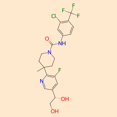 CC1(c2ncc([C@H](O)CO)cc2F)CCN(C(=O)Nc2ccc(C(F)(F)F)c(Cl)c2)CC1